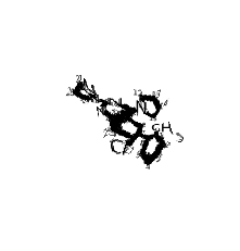 Cc1ccccc1-c1cc2c(N3CCCC3)nc(-n3cccn3)nc2cc1Cl